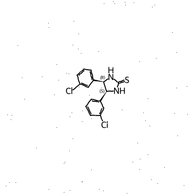 S=C1N[C@H](c2cccc(Cl)c2)[C@H](c2cccc(Cl)c2)N1